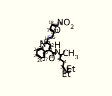 CCN(CC)CCCC(C)NC(=O)c1cc(/C=C/c2ccc([N+](=O)[O-])o2)nc2ccccc12